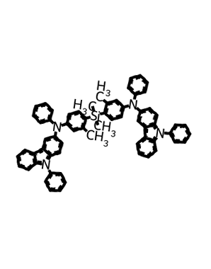 Cc1cc(N(c2ccccc2)c2ccc3c(c2)c2ccccc2n3-c2ccccc2)ccc1[Si](C)(C)c1ccc(N(c2ccccc2)c2ccc3c(c2)c2ccccc2n3-c2ccccc2)cc1C